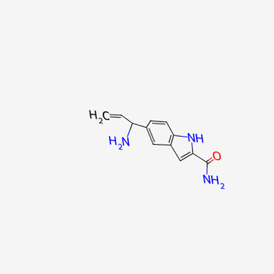 C=CC(N)c1ccc2[nH]c(C(N)=O)cc2c1